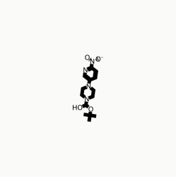 CC(C)(C)OC(O)N1CCN(c2ccc([N+](=O)[O-])nc2)CC1